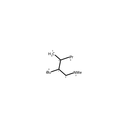 CCC(C)C(CNC)C(C)C(C)C